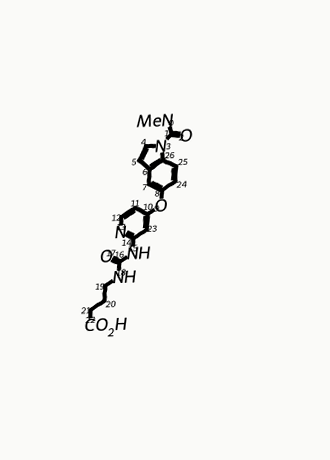 CNC(=O)n1ccc2cc(Oc3ccnc(NC(=O)NCCCC(=O)O)c3)ccc21